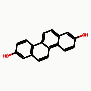 Oc1ccc2c(ccc3c4ccc(O)cc4ccc23)c1